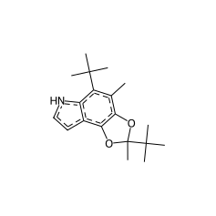 Cc1c2c(c3cc[nH]c3c1C(C)(C)C)OC(C)(C(C)(C)C)O2